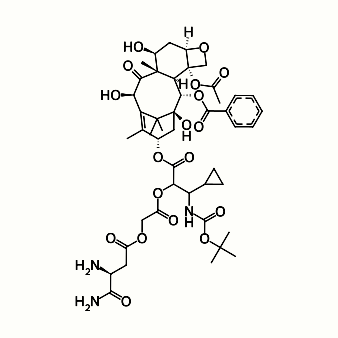 CC(=O)O[C@@]12CO[C@@H]1C[C@H](O)[C@@]1(C)C(=O)[C@H](O)C3=C(C)[C@@H](OC(=O)C(OC(=O)COC(=O)C[C@H](N)C(N)=O)C(NC(=O)OC(C)(C)C)C4CC4)C[C@@](O)([C@@H](OC(=O)c4ccccc4)[C@H]21)C3(C)C